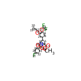 COC(=O)[C@@H]1CC(c2ccc(OC(F)F)c(OCC3CC3)c2)CN1S(=O)(=O)c1ccc(F)cc1